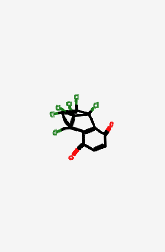 O=C1C=CC(=O)C2=C1C1(Cl)C(Cl)=C(Cl)C2(Cl)C1(Cl)Cl